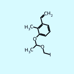 C=Cc1cccc(OC(C)OCI)c1C